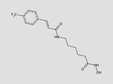 O=C(C=Cc1ccc(C(F)(F)F)cc1)NCCCCCC(=O)NO